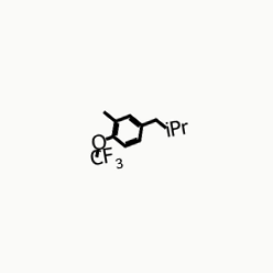 Cc1cc(CC(C)C)ccc1OC(F)(F)F